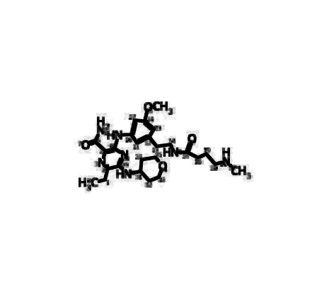 CCc1nc(C(N)=O)c(Nc2cc(CCNC(=O)CCCNC)cc(OC)c2)nc1NC1CCOCC1